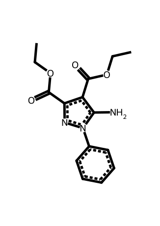 CCOC(=O)c1nn(-c2ccccc2)c(N)c1C(=O)OCC